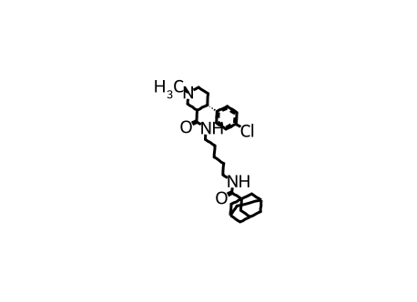 CN1CC[C@H](c2ccc(Cl)cc2)C(C(=O)NCCCCCNC(=O)C23CC4CC(CC(C4)C2)C3)C1